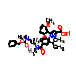 COc1cccc(OC)c1-c1cc(C(=O)O)nn1-c1ccc(C(=O)N(C)CCCN(C)C(=O)OCc2ccccc2)cc1C(C)C